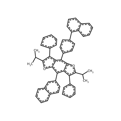 CC(C)c1oc2c(-c3ccc4ccccc4c3)c3c(-c4ccccc4)c(C(C)C)oc3c(-c3ccc(-c4cccc5ccccc45)cc3)c2c1-c1ccccc1